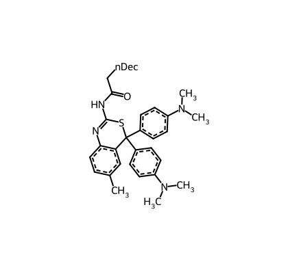 CCCCCCCCCCCC(=O)NC1=Nc2ccc(C)cc2C(c2ccc(N(C)C)cc2)(c2ccc(N(C)C)cc2)S1